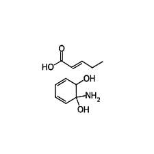 CCC=CC(=O)O.NC1(O)C=CC=CC1O